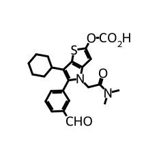 CN(C)C(=O)Cn1c(-c2cccc(C=O)c2)c(C2CCCCC2)c2sc(OC(=O)O)cc21